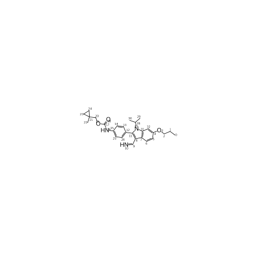 CCCOc1ccc2c(C=N)c(-c3ccc(NC(=O)OCC4(C)CC4)cc3)n(C(C)C)c2c1